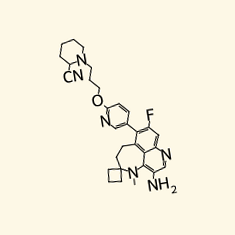 CN1c2c(N)cnc3cc(F)c(-c4ccc(OCCCN5CCCCC5C#N)nc4)c(c23)CCC12CCC2